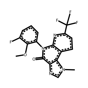 COc1c(F)cccc1-n1c(=O)c2ncn(C)c2c2ccc(C(F)(F)F)nc21